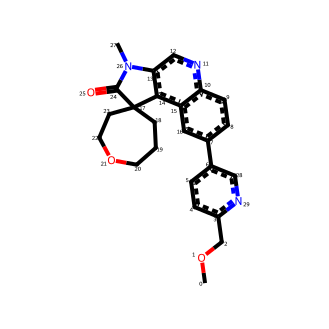 COCc1ccc(-c2ccc3ncc4c(c3c2)C2(CCCOCC2)C(=O)N4C)cn1